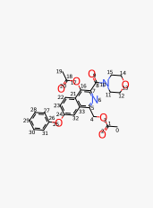 CC(=O)OCc1nc(C(=O)N2CCOCC2)c(OC(C)=O)c2ccc(Oc3ccccc3)cc12